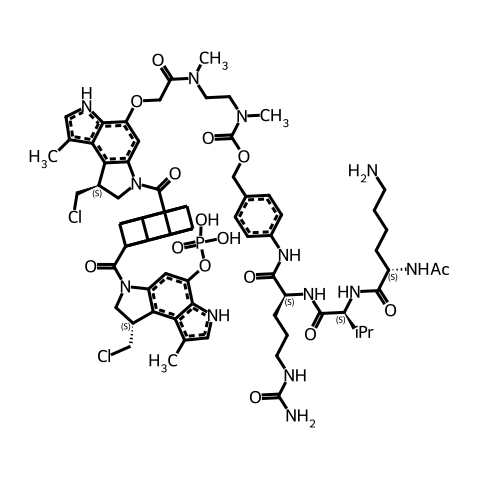 CC(=O)N[C@@H](CCCCN)C(=O)N[C@H](C(=O)N[C@@H](CCCNC(N)=O)C(=O)Nc1ccc(COC(=O)N(C)CCN(C)C(=O)COc2cc3c(c4c(C)c[nH]c24)[C@H](CCl)CN3C(=O)C23C4C5C2C2C3C4C52C(=O)N2C[C@@H](CCl)c3c2cc(OP(=O)(O)O)c2[nH]cc(C)c32)cc1)C(C)C